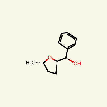 C[C@H]1CC[C@H]([C@H](O)c2ccccc2)O1